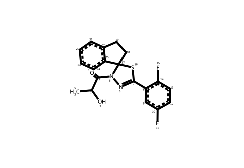 CC(O)C(=O)N1N=C(c2cc(F)ccc2F)SC12CCc1ccccc12